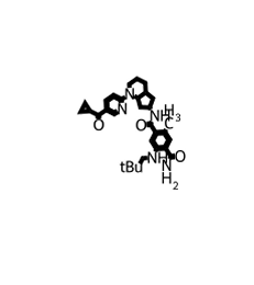 Cc1cc(C(N)=O)c(NCC(C)(C)C)cc1C(=O)NC1CC2CCCN(c3ccc(C(=O)C4CC4)cn3)C2C1